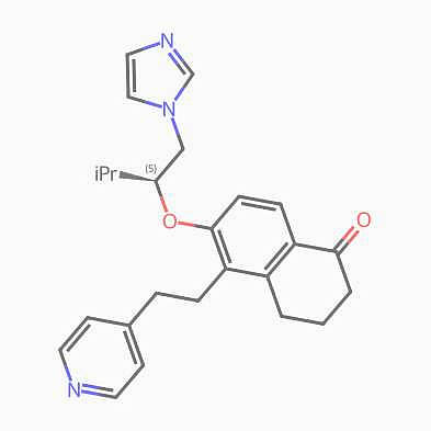 CC(C)[C@@H](Cn1ccnc1)Oc1ccc2c(c1CCc1ccncc1)CCCC2=O